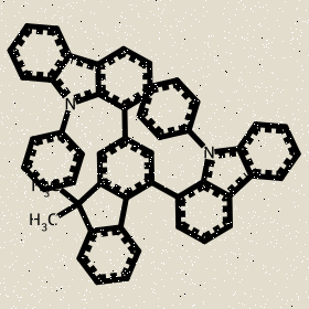 CC1(C)c2ccccc2-c2c(-c3cccc4c5ccccc5n(-c5ccccc5)c34)cc(-c3cccc4c5ccccc5n(-c5ccccc5)c34)cc21